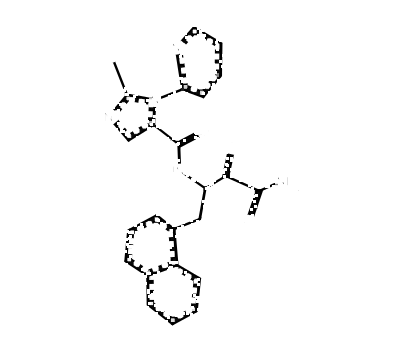 Cc1ncc(C(=O)NC(Cc2cccc3ccccc23)C(=O)C(N)=O)n1-c1ccccn1